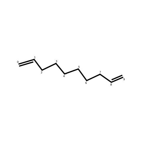 C=CCC[CH]CCCC=C